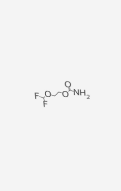 NC(=O)OCCOC(F)F